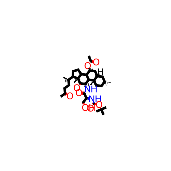 CC(=O)CC[C@@H](C)C1CCC2C3C([C@H](NC(=O)C(CO)NC(=O)OC(C)(C)C)C(=O)[C@@]21C)[C@@]1(C)CC[C@@H](C)C[C@H]1C[C@H]3OC(C)=O